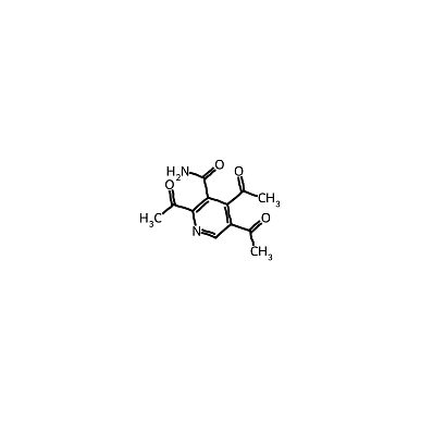 CC(=O)c1cnc(C(C)=O)c(C(N)=O)c1C(C)=O